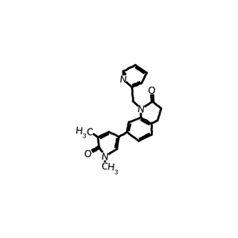 Cc1cc(-c2ccc3c(c2)N(Cc2ccccn2)C(=O)CC3)cn(C)c1=O